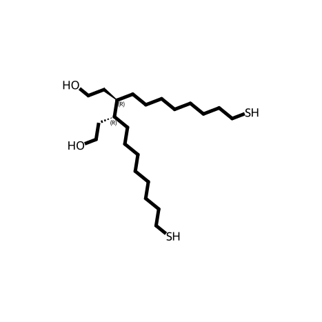 OCC[C@@H](CCCCCCCCS)[C@@H](CCO)CCCCCCCCS